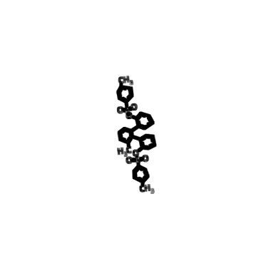 Cc1ccc(S(=O)(=O)Oc2ccccc2-c2cccc(C)c2-c2ccccc2OS(=O)(=O)c2ccc(C)cc2)cc1